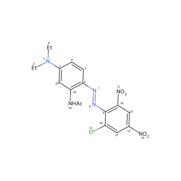 CCN(CC)c1ccc(N=Nc2c(Cl)cc([N+](=O)[O-])cc2[N+](=O)[O-])c(NC(C)=O)c1